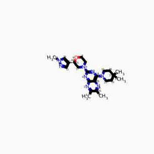 Cc1nc2nc(N3CCO[C@@H](c4cnn(C)c4)C3)nc(N3CCC(C)(C)CC3)c2nc1C